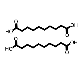 O=C(O)CCCCCCCCC(=O)O.O=C(O)CCCCCCCCC(=O)O